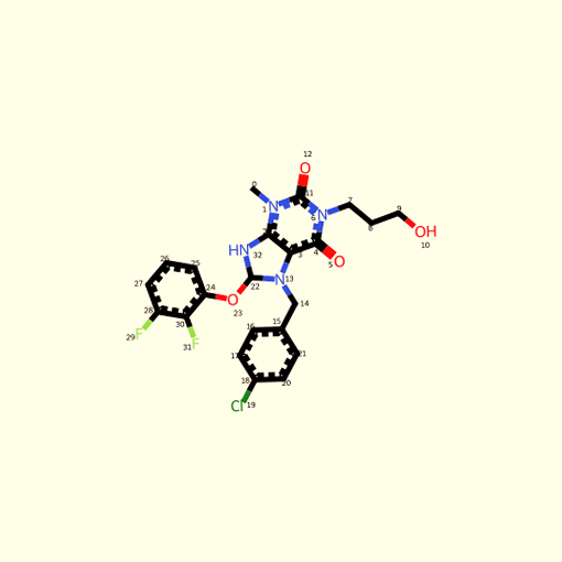 Cn1c2c(c(=O)n(CCCO)c1=O)N(Cc1ccc(Cl)cc1)C(Oc1cccc(F)c1F)N2